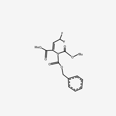 COC(=O)/C(=C/C(F)F)N(C(=O)OCc1ccccc1)C(=O)OC(C)(C)C